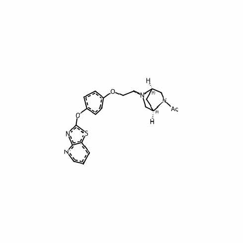 CC(=O)N1C[C@H]2C[C@@H]1CN2CCOc1ccc(Oc2nc3ncccc3s2)cc1